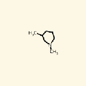 [CH2]C1CCCN(C)C1